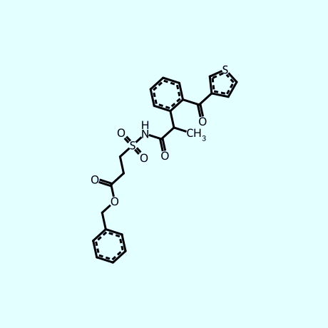 CC(C(=O)NS(=O)(=O)CCC(=O)OCc1ccccc1)c1ccccc1C(=O)c1ccsc1